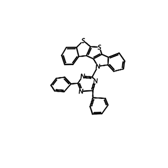 c1ccc(-c2nc(-c3ccccc3)nc(-n3c4ccccc4c4sc5sc6ccccc6c5c43)n2)cc1